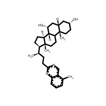 Cc1cccc2nc(CC[C@@H](C)[C@H]3CC[C@H]4[C@H]5C(CC[C@]34C)[C@@]3(C)CC[C@@H](O)C[C@H]3C[C@H]5O)ncc12